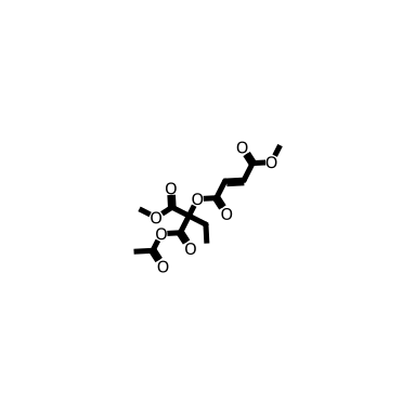 CCC(OC(=O)C=CC(=O)OC)(C(=O)OC)C(=O)OC(C)=O